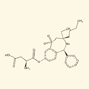 CCCC[C@]1(CC)CS(=O)(=O)c2cc(OC(=O)[C@@H](N)CC(=O)O)ccc2[C@H](c2ccccc2)N1